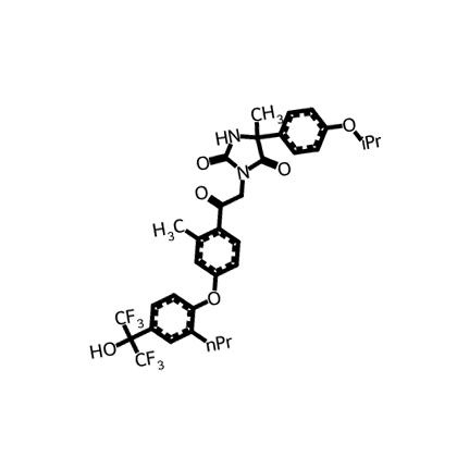 CCCc1cc(C(O)(C(F)(F)F)C(F)(F)F)ccc1Oc1ccc(C(=O)CN2C(=O)NC(C)(c3ccc(OC(C)C)cc3)C2=O)c(C)c1